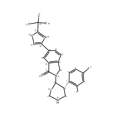 Cc1cc(F)ccc1[C@@H]1CNCCC1N1Cc2ccc(-c3noc(C(F)(F)F)n3)cc2C1=O